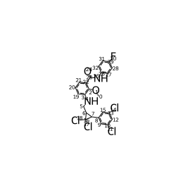 COc1c(NCC2C(c3cc(Cl)cc(Cl)c3)C2(Cl)Cl)cccc1C(=O)Nc1ccc(F)cc1